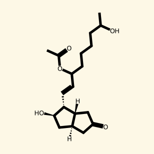 CC(=O)OC(C=C[C@@H]1[C@@H]2CC(=O)C[C@H]2C[C@H]1O)CCCCC(C)O